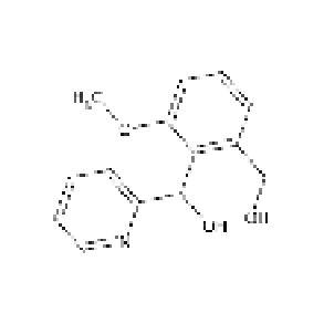 COc1cccc(CO)c1C(O)c1ccccn1